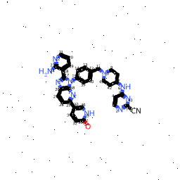 N#Cc1nccc(NC2CCN(Cc3ccc(-n4c(-c5cccnc5N)nc5ccc(-c6ccc(=O)[nH]c6)nc54)cc3)CC2)n1